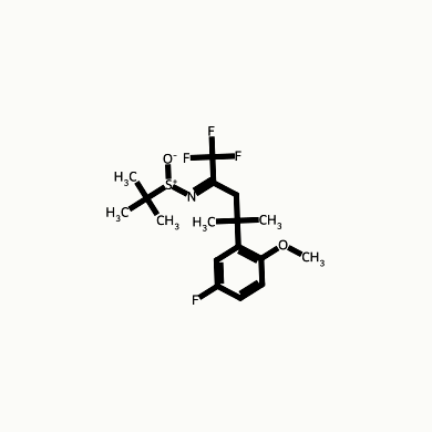 COc1ccc(F)cc1C(C)(C)C/C(=N/[S+]([O-])C(C)(C)C)C(F)(F)F